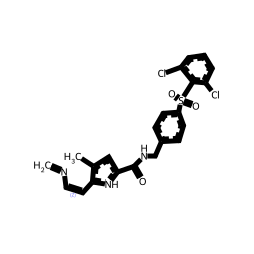 C=N/C=C\c1[nH]c(C(=O)NCc2ccc(S(=O)(=O)c3c(Cl)cccc3Cl)cc2)cc1C